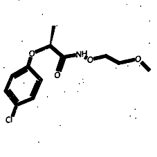 COCCONC(=O)[C@H](C)Oc1ccc(Cl)cc1